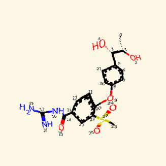 C[C@H](O)[C@@H](O)c1ccc(Oc2ccc(C(=O)NC(=N)N)cc2S(C)(=O)=O)cc1